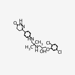 CC(C)(CNc1ccc(C2=NNC(=O)CC2)cc1)NC[C@H](O)COc1cc(Cl)ccc1Cl